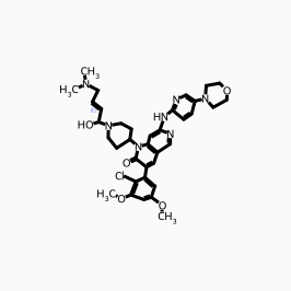 COc1cc(OC)c(Cl)c(-c2cc3cnc(Nc4ccc(N5CCOCC5)cn4)cc3n(C3CCN(C(O)/C=C/CN(C)C)CC3)c2=O)c1